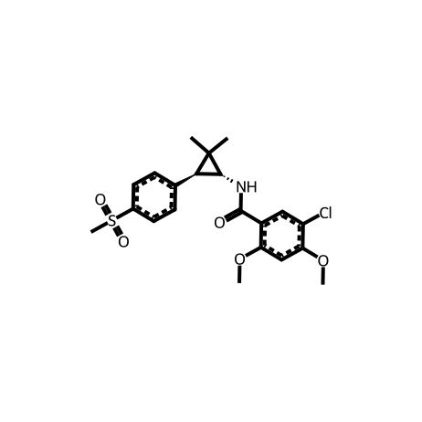 COc1cc(OC)c(C(=O)N[C@@H]2[C@@H](c3ccc(S(C)(=O)=O)cc3)C2(C)C)cc1Cl